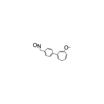 COC1=CC(c2ccc(CN=O)cc2)=CCC=C1